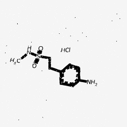 CNS(=O)(=O)CCc1ccc(N)cc1.Cl